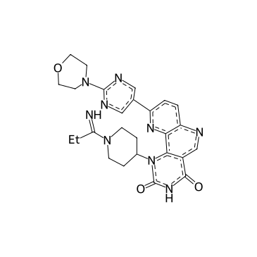 CCC(=N)N1CCC(n2c(=O)[nH]c(=O)c3cnc4ccc(-c5cnc(N6CCOCC6)nc5)nc4c32)CC1